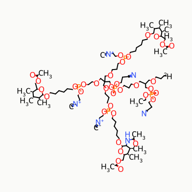 [2H]CCCOCC(COCCCOP(=O)(OCCC#N)OCC(COCCCOP(OCCCCCCOC1OC(COC(C)=O)[C@H](C)[C@H](C)[C@@H]1C)OCC[N+]#[C-])(COCCCOP(OCCCCCCO[C@@H]1OC(COC(C)=O)[C@H](C)[C@H](C)C1NC(C)=O)OCC[N+]#[C-])COCCOP(OCCCCCCO[C@@H]1OC(COC(C)=O)[C@H](C)[C@H](C)C1C)OCC[N+]#[C-])COP(=O)(OCC)OCCC#N